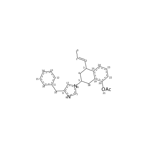 CC=CC1CC(n2cnc(Cc3ccccc3)c2)Cc2c(OC(C)=O)cccc21